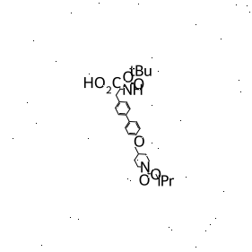 CC(C)OC(=O)N1CCC(COc2ccc(-c3ccc(CC(NC(=O)OC(C)(C)C)C(=O)O)cc3)cc2)CC1